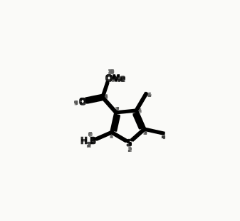 Bc1sc(C)c(C)c1C(=O)OC